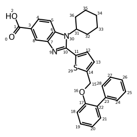 O=C(O)c1ccc2c(c1)nc(-c1ccc(COc3ccccc3-c3ccccc3)s1)n2C1CCCCC1